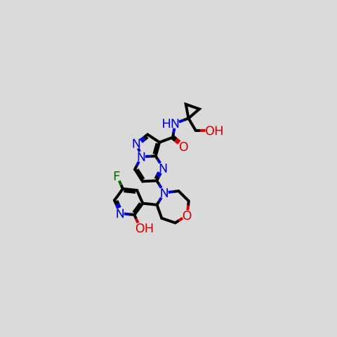 O=C(NC1(CO)CC1)c1cnn2ccc(N3CCOCCC3c3cc(F)cnc3O)nc12